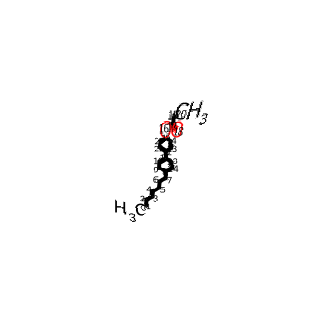 CCCCCCCCC1CC=C(c2ccc(OC(=O)CC)cc2)CC1